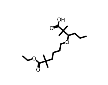 CCCC(OCCCCC(C)(C)C(=O)OCC)C(C)(C)C(=O)O